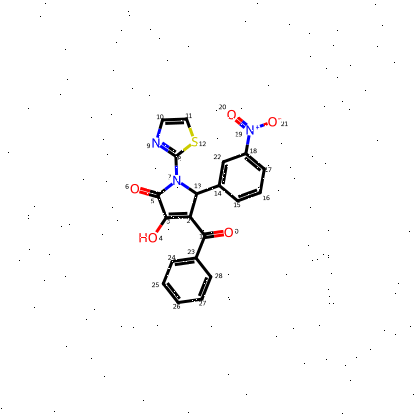 O=C(C1=C(O)C(=O)N(c2nccs2)C1c1cccc([N+](=O)[O-])c1)c1ccccc1